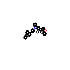 CC1(C)c2cc3c(cc2-c2ccc4oc5ccccc5c4c21)c1ccccc1n3-c1ccc(C2=CC=C3c4ccccc4C4=CC=CC2C43)cc1